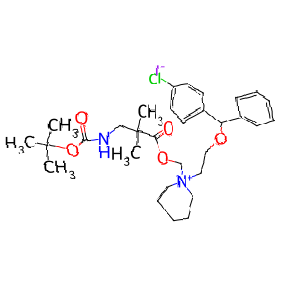 CC(C)(C)OC(=O)NCC(C)(C)C(=O)OC[N+]1(CCOC(c2ccccc2)c2ccc(Cl)cc2)CCCCC1.[I-]